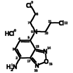 Cl.Nc1ccc(N(CCCl)CCCl)c2nonc12